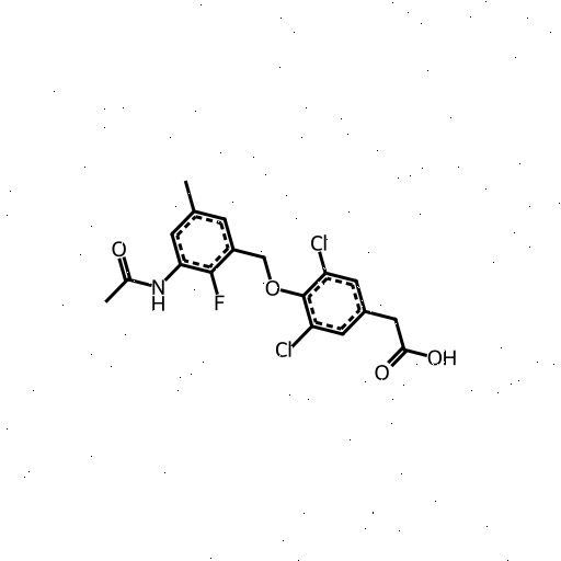 CC(=O)Nc1cc(C)cc(COc2c(Cl)cc(CC(=O)O)cc2Cl)c1F